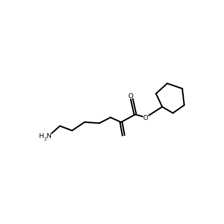 C=C(CCCCCN)C(=O)OC1CCCCC1